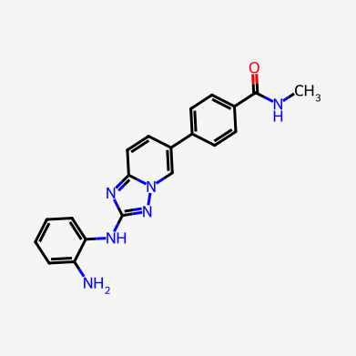 CNC(=O)c1ccc(-c2ccc3nc(Nc4ccccc4N)nn3c2)cc1